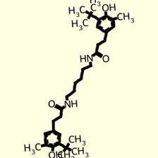 Cc1cc(CCC(=O)NCCCCCCNC(=O)CCc2cc(C)c(O)c(C(C)(C)C)c2)cc(C(C)(C)C)c1O